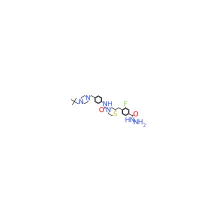 CC(C)(C)CN1CCN(Cc2ccc(NC(=O)N3CCSC(Cc4ccc(C(=O)NN)cc4F)C3)cc2)CC1